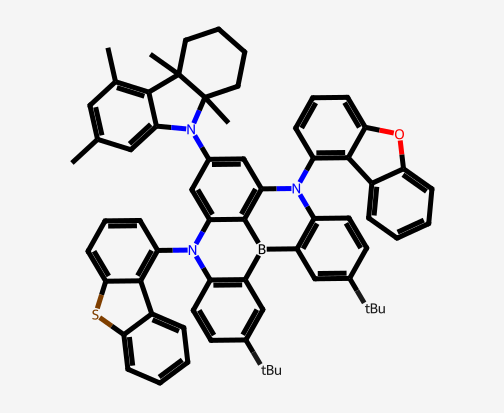 Cc1cc(C)c2c(c1)N(c1cc3c4c(c1)N(c1cccc5sc6ccccc6c15)c1ccc(C(C)(C)C)cc1B4c1cc(C(C)(C)C)ccc1N3c1cccc3oc4ccccc4c13)C1(C)CCCCC21C